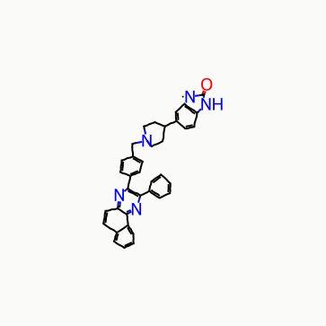 O=C1[N]c2cc(C3CCN(Cc4ccc(-c5nc6ccc7ccccc7c6nc5-c5ccccc5)cc4)CC3)ccc2N1